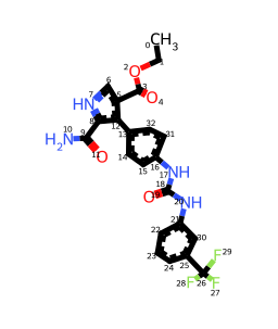 CCOC(=O)c1c[nH]c(C(N)=O)c1-c1ccc(NC(=O)Nc2cccc(C(F)(F)F)c2)cc1